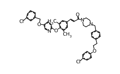 Cc1cc(/C=C/C(=O)N2CCN(Cc3ccc(CCOc4ccc(Cl)cc4)cc3)CC2)cc(C)c1Oc1ccc(OCc2cccc(Cl)c2)cn1